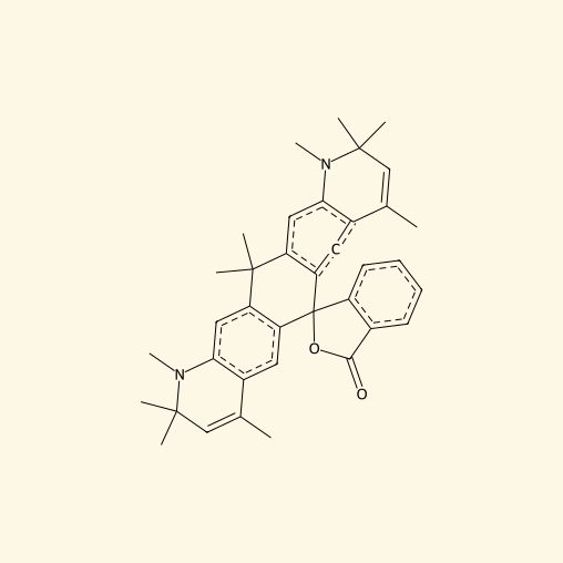 CC1=CC(C)(C)N(C)c2cc3c(cc21)C1(OC(=O)c2ccccc21)c1cc2c(cc1C3(C)C)N(C)C(C)(C)C=C2C